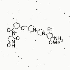 CCc1cc(N)c(OC)cc1N1CCC(N2CCC(COc3cccc4c3CN(C3CCC(=O)NC3=O)C4=O)CC2)CC1